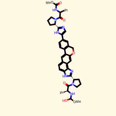 COC(=O)NC(C(=O)N1CCC[C@H]1c1ncc(-c2ccc3c(c2)COc2cc4c(ccc5[nH]c([C@@H]6CCCN6C(=O)[C@@H](NC(O)OC)C(C)C)nc54)cc2-3)[nH]1)C(C)C